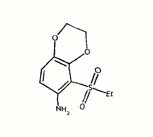 CCS(=O)(=O)c1c(N)ccc2c1OCCO2